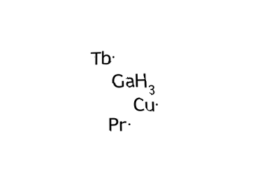 [Cu].[GaH3].[Pr].[Tb]